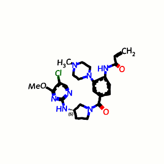 C=CC(=O)Nc1ccc(C(=O)N2CC[C@H](Nc3ncc(Cl)c(OC)n3)C2)cc1N1CCN(C)CC1